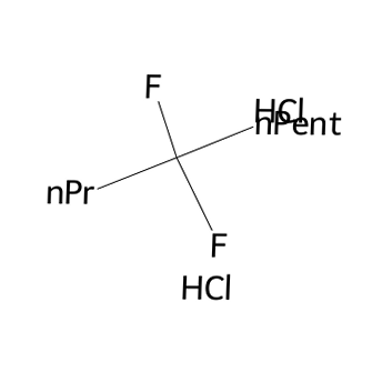 CCCCCC(F)(F)CCC.Cl.Cl